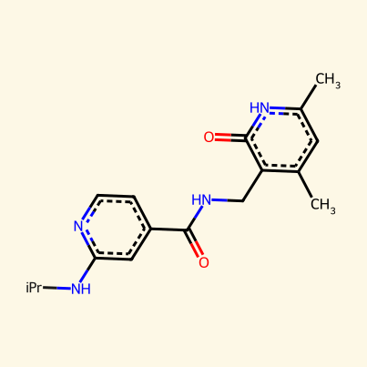 Cc1cc(C)c(CNC(=O)c2ccnc(NC(C)C)c2)c(=O)[nH]1